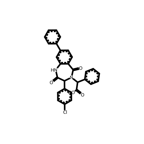 O=C(O)C(c1ccccc1)N1C(=O)c2ccc(-c3ccccc3)cc2NC(=O)C1c1ccc(Cl)cc1